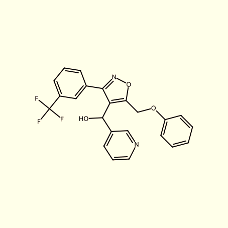 OC(c1cccnc1)c1c(-c2cccc(C(F)(F)F)c2)noc1COc1ccccc1